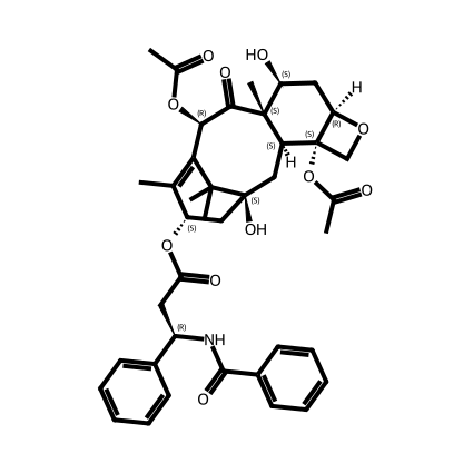 CC(=O)O[C@H]1C(=O)[C@@]2(C)[C@H](C[C@]3(O)C[C@H](OC(=O)C[C@@H](NC(=O)c4ccccc4)c4ccccc4)C(C)=C1C3(C)C)[C@]1(OC(C)=O)CO[C@@H]1C[C@@H]2O